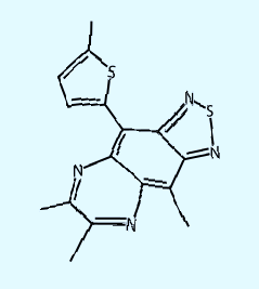 Cc1ccc(-c2c3nsnc3c(C)c3nc(C)c(C)nc23)s1